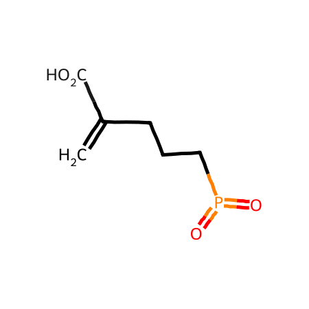 C=C(CCCP(=O)=O)C(=O)O